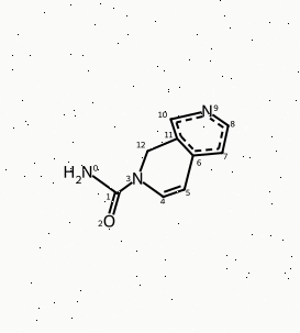 NC(=O)N1C=Cc2ccncc2C1